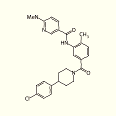 CNc1ccc(C(=O)Nc2cc(C(=O)N3CCC(c4ccc(Cl)cc4)CC3)ccc2C)cn1